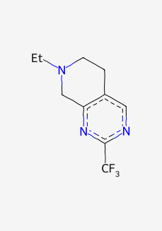 CCN1CCc2cnc(C(F)(F)F)nc2C1